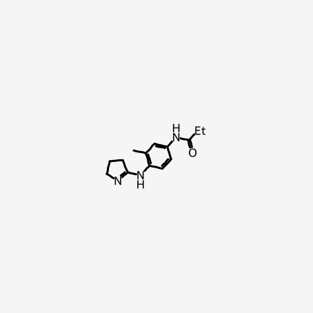 CCC(=O)Nc1ccc(NC2=NCCC2)c(C)c1